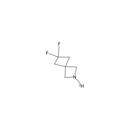 [2H]N1CC2(C1)CC(F)(F)C2